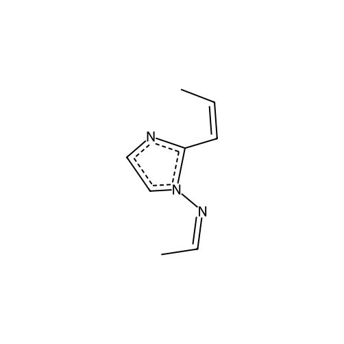 C/C=C\c1nccn1/N=C\C